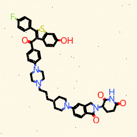 O=C1CCC(N2Cc3cc(N4CCC(CCCN5CCN(c6ccc(C(=O)c7c(-c8ccc(F)cc8)sc8cc(O)ccc78)cc6)CC5)CC4)ccc3C2=O)C(=O)N1